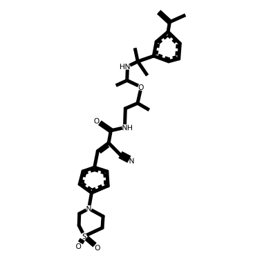 C=C(C)c1cccc(C(C)(C)NC(C)OC(C)CNC(=O)/C(C#N)=C/c2ccc(N3CCS(=O)(=O)CC3)cc2)c1